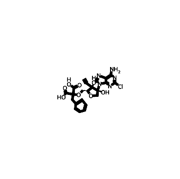 C#C[C@@]1(O)[C@@H](COC(Cc2ccccc2)(C(=O)O)C(=O)O)OC[C@@]1(O)n1cnc2c(N)nc(Cl)nc21